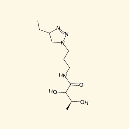 CCC1CN(CCCNC(=O)C(O)[C@H](C)O)N=N1